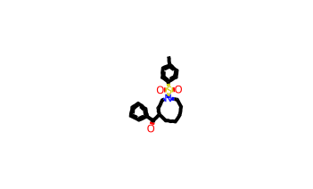 Cc1ccc(S(=O)(=O)N2CCCCCC(C(=O)c3ccccc3)CC2)cc1